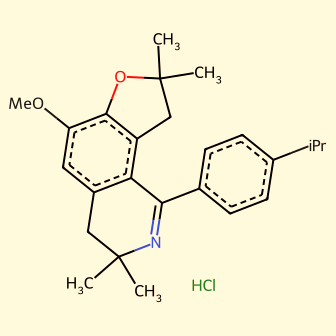 COc1cc2c(c3c1OC(C)(C)C3)C(c1ccc(C(C)C)cc1)=NC(C)(C)C2.Cl